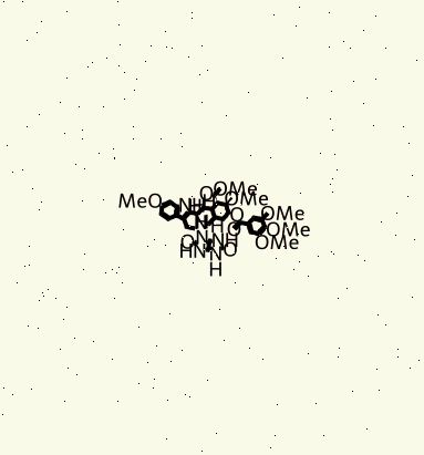 COC(=O)[C@H]1[C@H]2C[C@@H]3c4[nH]c5cc(OC)ccc5c4CCN3C[C@H]2C[C@@H](OC(=O)c2cc(OC)c(OC)c(OC)c2)[C@@H]1OC.O=C1NC2NC(=O)NC2N1